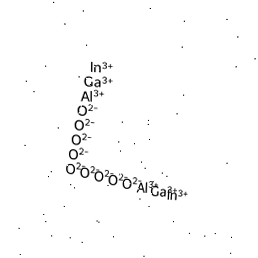 [Al+3].[Al+3].[Ga+3].[Ga+3].[In+3].[In+3].[O-2].[O-2].[O-2].[O-2].[O-2].[O-2].[O-2].[O-2].[O-2]